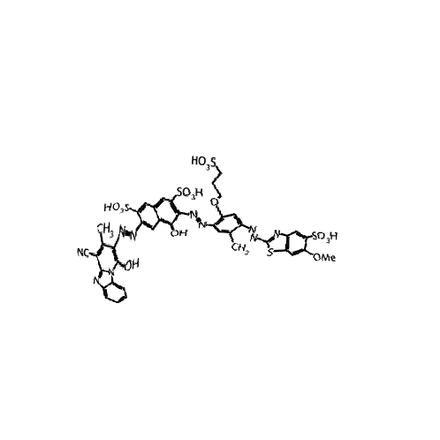 COc1cc2sc(N=Nc3cc(OCCCS(=O)(=O)O)c(N=Nc4c(S(=O)(=O)O)cc5cc(S(=O)(=O)O)c(N=Nc6c(C)c(C#N)c7nc8ccccc8n7c6O)cc5c4O)cc3C)nc2cc1S(=O)(=O)O